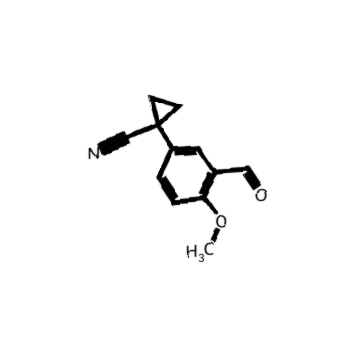 COc1ccc(C2(C#N)CC2)cc1C=O